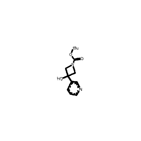 CC(C)(C)OC(=O)N1CC(O)(c2cccnc2)C1